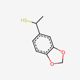 CC(S)c1ccc2c(c1)OCO2